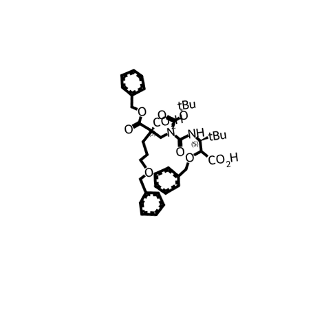 CC(C)(C)OC(=O)N(C[C@@](CCCOCc1ccccc1)(C(=O)O)C(=O)OCc1ccccc1)C(=O)N[C@H](C(OCc1ccccc1)C(=O)O)C(C)(C)C